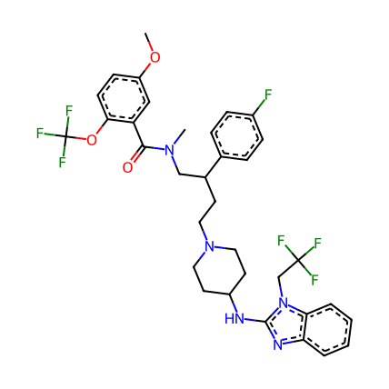 COc1ccc(OC(F)(F)F)c(C(=O)N(C)CC(CCN2CCC(Nc3nc4ccccc4n3CC(F)(F)F)CC2)c2ccc(F)cc2)c1